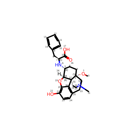 CO[C@@]12CC[C@@H](N[C@@H](Cc3ccccc3)C(=O)O)[C@@H]3Oc4c(O)ccc5c4[C@@]31CCN(C)C2C5